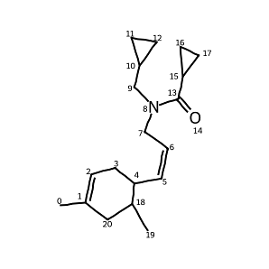 CC1=CCC(/C=C\CN(CC2CC2)C(=O)C2CC2)C(C)C1